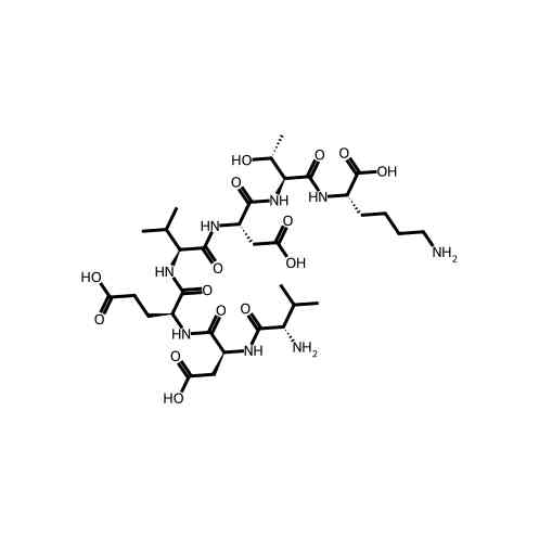 CC(C)[C@H](N)C(=O)N[C@@H](CC(=O)O)C(=O)N[C@@H](CCC(=O)O)C(=O)N[C@H](C(=O)N[C@@H](CC(=O)O)C(=O)N[C@H](C(=O)N[C@@H](CCCCN)C(=O)O)[C@@H](C)O)C(C)C